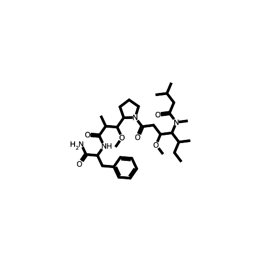 CCC(C)C(C(CC(=O)N1CCCC1C(OC)C(C)C(=O)NC(Cc1ccccc1)C(N)=O)OC)N(C)C(=O)CC(C)C